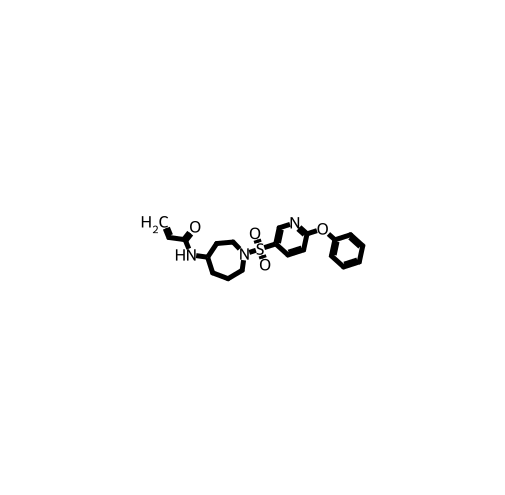 C=CC(=O)NC1CCCN(S(=O)(=O)c2ccc(Oc3ccccc3)nc2)CC1